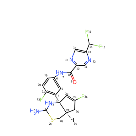 NC1N[C@@]2(c3cc(NC(=O)c4cnc(C(F)F)cn4)ccc3F)C=C(F)C[C@H]2CS1